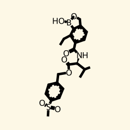 CCc1c(C(=O)N[C@H](C(=O)OCc2ccc(S(C)(=O)=O)cc2)C(C)C)ccc2c1B(O)OC2